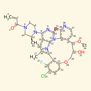 C=CC(=O)N1CCN(c2nc(=O)n3c4nc(c(C)cc24)-c2c(ccc(Cl)c2F)OCC(O)C(OCC)c2ccnc(C(C)C)c2-3)[C@@H](C)C1